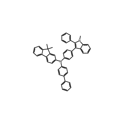 Cn1c(-c2ccccc2)c(-c2ccc(N(c3ccc(-c4ccccc4)cc3)c3ccc4c(c3)C(C)(C)c3ccccc3-4)cc2)c2ccccc21